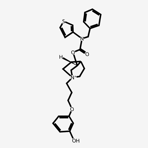 O=C(O[C@H]1C[N+]2(CCCOc3cccc(O)c3)CCC1CC2)N(Cc1ccccc1)c1ccsc1